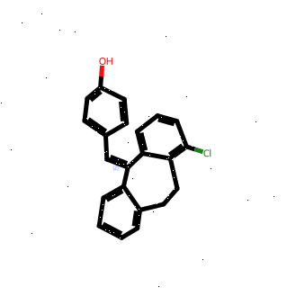 Oc1ccc(/C=C2/c3ccccc3CCc3c(Cl)cccc32)cc1